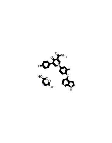 NC(=O)c1cn(-c2ccc(Oc3ccnc4c3CCN4)c(F)c2)cc(-c2ccc(F)cc2)c1=O.O=C(O)/C=C\C(=O)O